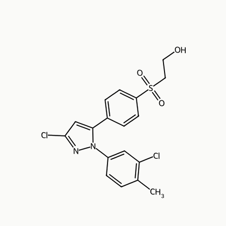 Cc1ccc(-n2nc(Cl)cc2-c2ccc(S(=O)(=O)CCO)cc2)cc1Cl